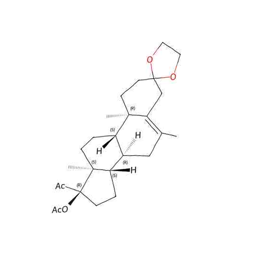 CC(=O)O[C@]1(C(C)=O)CC[C@H]2[C@@H]3CC(C)=C4CC5(CC[C@]4(C)[C@H]3CC[C@@]21C)OCCO5